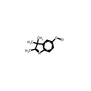 CCOc1ccc2c(c1)C(C)(C)C(C)=N2